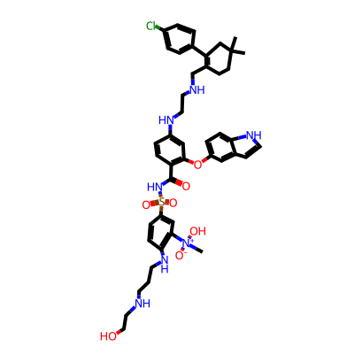 CC1(C)CCC(CNCCNc2ccc(C(=O)NS(=O)(=O)c3ccc(NCCCNCCO)c([N+](C)([O-])O)c3)c(Oc3ccc4[nH]ccc4c3)c2)=C(c2ccc(Cl)cc2)C1